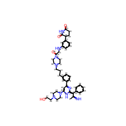 CC(=N)/C(=C1/N=C(c2cccc(CCCN3CCN(C(=O)CNc4cccc(C5CCC(=O)NC5=O)c4)CC3)c2)C=C(N2CCN(CCO)CC2)N1)c1ccccc1